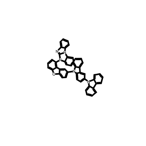 c1ccc2c(c1)nc1n(-c3cccc4oc5ccc(-n6c7ccccc7c7cc(-n8c9ccccc9c9ccccc98)ccc76)cc5c34)c3ccccc3n21